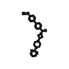 COc1ccc(-c2ccc(C(=O)N3CC(N4CCN(c5ncccn5)CC4)C3)cc2)cc1